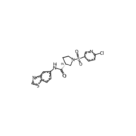 O=C(Nc1ccc2scnc2c1)[C@@H]1CCN(S(=O)(=O)c2ccc(Cl)nc2)C1